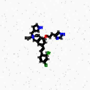 C[N+](C)(Cc1cc(/C=C/c2ccc(Cl)cc2Br)cc(OCCc2c[nH]cn2)c1)CC1CCNC1